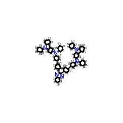 c1ccc(N(c2ccc(-c3ccc(-c4nc5ccccc5nc4-c4ccc(-c5ccc(N(c6ccccc6)c6ccc7c(c6)c6ccccc6n7-c6ccccc6)cc5)cc4)cc3)cc2)c2ccc3c(c2)c2ccccc2n3-c2ccccc2)cc1